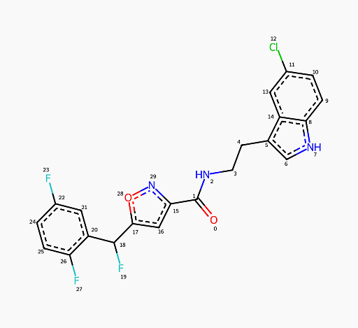 O=C(NCCc1c[nH]c2ccc(Cl)cc12)c1cc(C(F)c2cc(F)ccc2F)on1